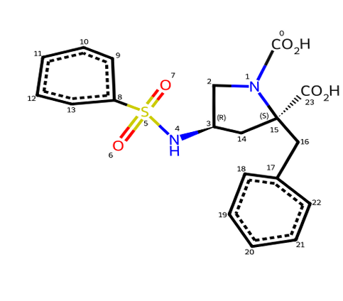 O=C(O)N1C[C@H](NS(=O)(=O)c2ccccc2)C[C@@]1(Cc1ccccc1)C(=O)O